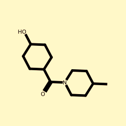 CC1CCN(C(=O)C2CCC(O)CC2)CC1